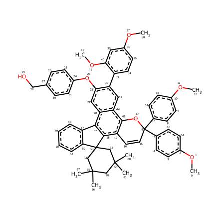 COc1ccc(C2(c3ccc(OC)cc3)C=Cc3c4c(c5cc(Oc6ccc(CO)cc6)c(-c6ccc(OC)cc6OC)cc5c3O2)-c2ccccc2C42CC(C)(C)CC(C)(C)C2)cc1